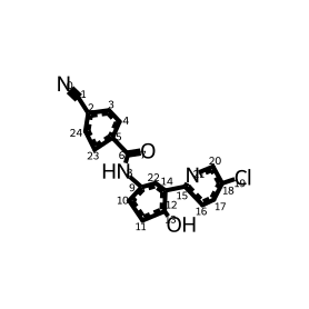 N#Cc1ccc(C(=O)Nc2[c]cc(O)c(-c3ccc(Cl)cn3)c2)cc1